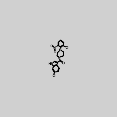 O=C(c1c[nH]c2cc(Cl)ccc12)N1CCN(c2c(Cl)cccc2[N+](=O)[O-])CC1